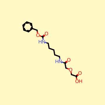 O=C(O)COCC(=O)NCCCCCNC(=O)OCc1ccccc1